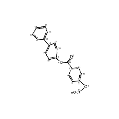 CCCCCCCCOc1ccc(C(=O)Oc2ccc(-c3cc[c]cc3)cc2)cc1